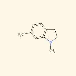 CN1CCc2ccc(C(F)(F)F)cc21